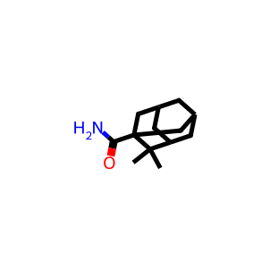 CC1(C)C2CC3CC(C2)CC1(C(N)=O)C3